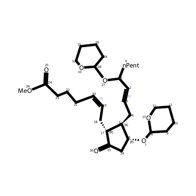 CCCCCC(/C=C/C[C@H]1[C@H](OC2CCCCO2)CC(=O)[C@@H]1C/C=C\CCCC(=O)OC)OC1CCCCO1